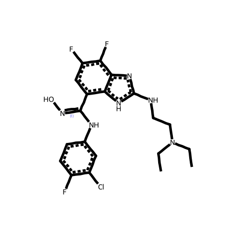 CCN(CC)CCNc1nc2c(F)c(F)cc(/C(=N\O)Nc3ccc(F)c(Cl)c3)c2[nH]1